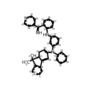 CC1(C)c2ccccc2C2=CC(N(c3ccccc3)c3cccc(Nc4ccccc4C(=N)c4ccncc4)c3)=CCC21